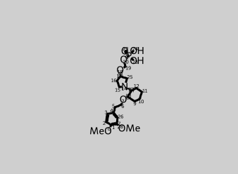 COc1ccc(CCO[C@@H]2CCCC[C@@H]2N2CC[C@H](OCOP(=O)(O)O)C2)cc1OC